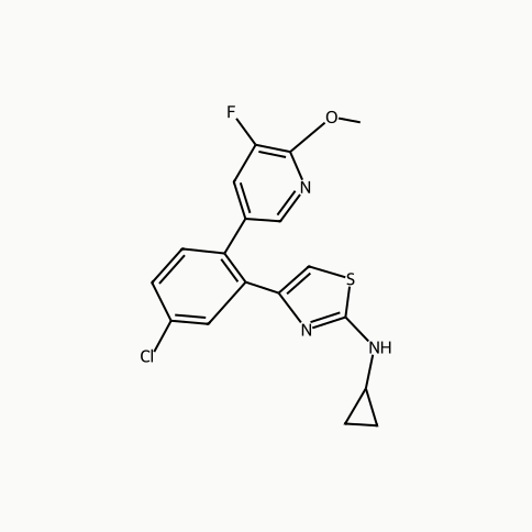 COc1ncc(-c2ccc(Cl)cc2-c2csc(NC3CC3)n2)cc1F